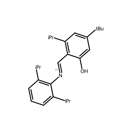 CC(C)c1cc(C(C)(C)C)cc(O)c1/C=N/c1c(C(C)C)cccc1C(C)C